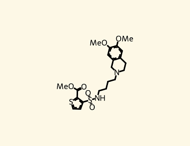 COC(=O)c1sccc1S(=O)(=O)NCCCCN1CCc2cc(OC)c(OC)cc2C1